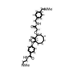 CNCCNC(=O)c1ccc(-n2nnc3c2CCCCCC3OCC(=O)NCc2ccc(CNC)cc2)cc1